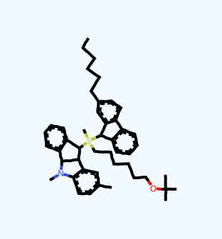 CCCCCCc1ccc2c(c1)C(S(C)(CCCCCCOC(C)(C)C)C1c3ccccc3C3C1c1cc(C)ccc1N3C)c1ccccc1-2